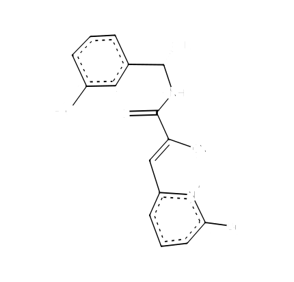 C[C@H](NC(=O)/C(C#N)=C/c1cccc(Br)n1)c1cccc(C(F)(F)F)c1